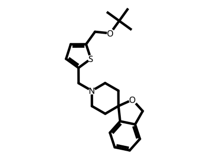 CC(C)(C)OCc1ccc(CN2CCC3(CC2)OCc2ccccc23)s1